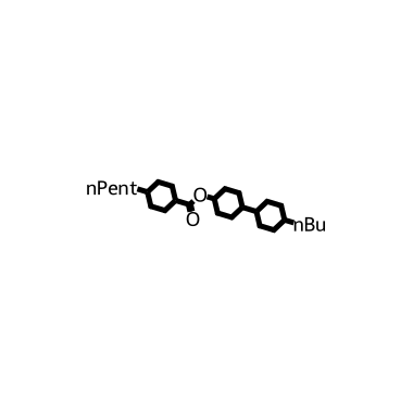 CCCCCC1CCC(C(=O)OC2CCC(C3CCC(CCCC)CC3)CC2)CC1